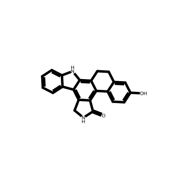 O=C1NCc2c1c1c(c3[nH]c4ccccc4c23)CCc2cc(O)ccc2-1